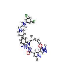 Cc1cc2cc(n1)-c1cnn(C)c1OCCC[C@@H](C)CN1/C(=N/C2=O)Nc2ccc(C3CCN(CC4CN(c5cc(F)cc(F)c5)C4)CC3)cc21